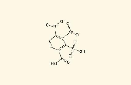 O=C(O)c1ccc([N+](=O)[O-])c([N+](=O)[O-])c1S(=O)(=O)O